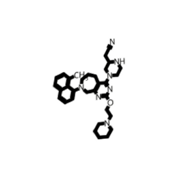 Cc1cccc2cccc(N3CCCc4c(nc(OCCN5CCCCC5)nc4N4CCNC(CC#N)C4)C3)c12